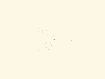 COc1ccc(-c2c(-c3ccc(S(C)(=O)=O)cc3)nn(CCCO)c2C(F)(F)F)cc1F